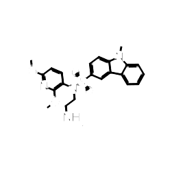 COc1ccc(N(CCN)S(=O)(=O)c2ccc3c(c2)c2ccccc2n3C)c(OC)n1